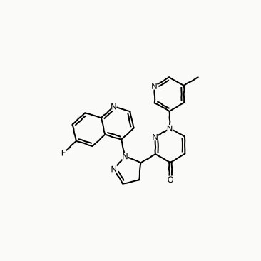 Cc1cncc(-n2ccc(=O)c(C3CC=NN3c3ccnc4ccc(F)cc34)n2)c1